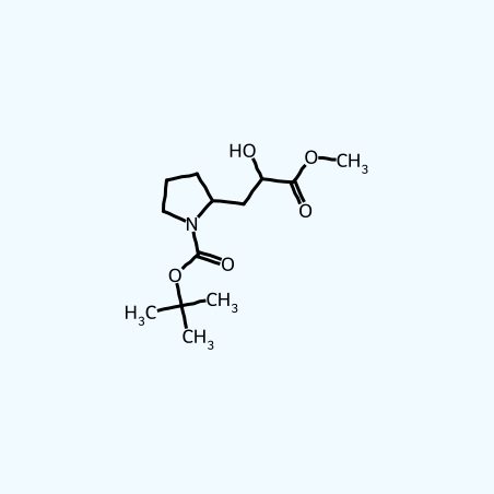 COC(=O)C(O)CC1CCCN1C(=O)OC(C)(C)C